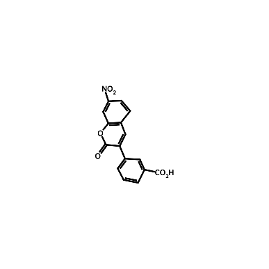 O=C(O)c1cccc(-c2cc3ccc([N+](=O)[O-])cc3oc2=O)c1